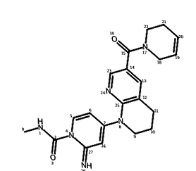 CNC(=O)n1ccc(N2CCCc3cc(C(=O)N4CC=CCC4)cnc32)cc1=N